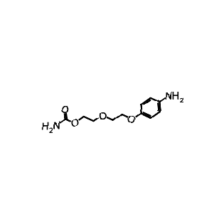 NC(=O)OCCOCCOc1ccc(N)cc1